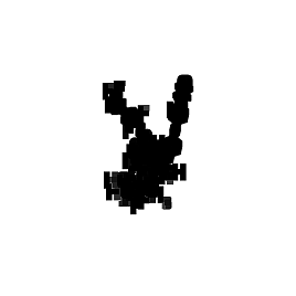 CC(C)(C(NC(=O)O)C(=O)NNCC(O)C(Cc1ccc(C#Cc2ccc(N3CC4(COC4)C3)nc2)cc1)NC(=O)C(NC(=O)OCCc1c(F)cc(-c2cnn(C(F)F)c2)cc1F)C(C)(C)C(F)(F)F)C(F)(F)F